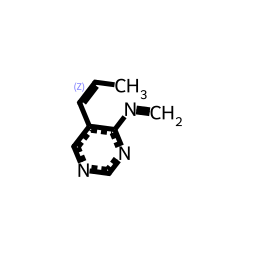 C=Nc1ncncc1/C=C\C